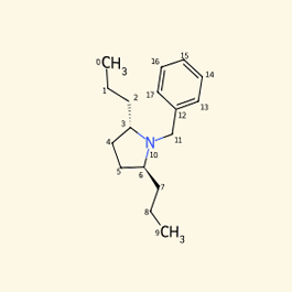 CCC[C@H]1CC[C@H](CCC)N1Cc1ccccc1